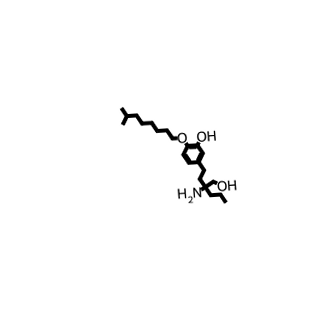 CCCC(N)(CO)CCc1ccc(OCCCCCCC(C)C)c(O)c1